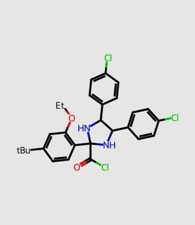 CCOc1cc(C(C)(C)C)ccc1C1(C(=O)Cl)NC(c2ccc(Cl)cc2)C(c2ccc(Cl)cc2)N1